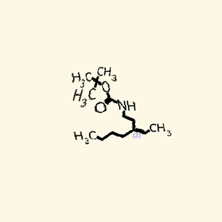 C/C=C(/CCCC)CCNC(=O)OC(C)(C)C